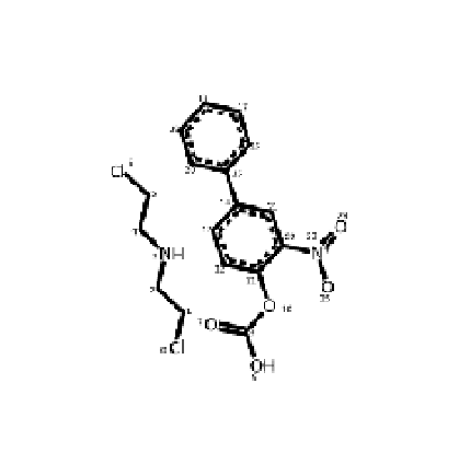 ClCCNCCCl.O=C(O)Oc1ccc(-c2ccccc2)cc1[N+](=O)[O-]